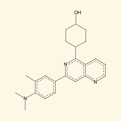 Cc1cc(-c2cc3ncccc3c(C3CCC(O)CC3)n2)ccc1N(C)C